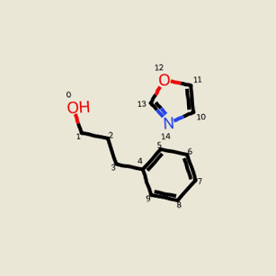 OCCCc1ccccc1.c1cocn1